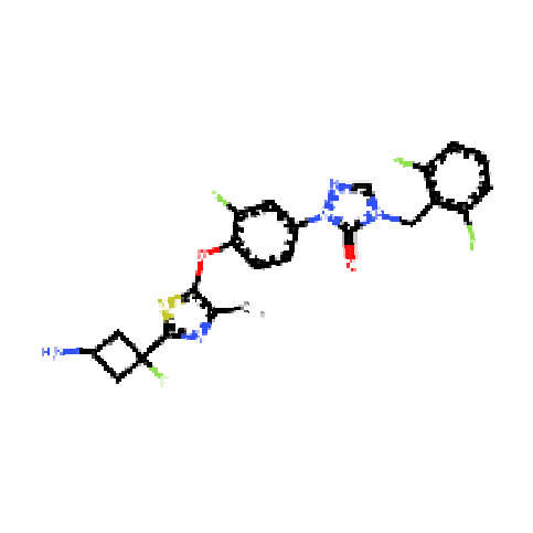 Cc1nc(C2(F)CC(N)C2)sc1Oc1ccc(-n2ncn(Cc3c(F)cccc3F)c2=O)cc1F